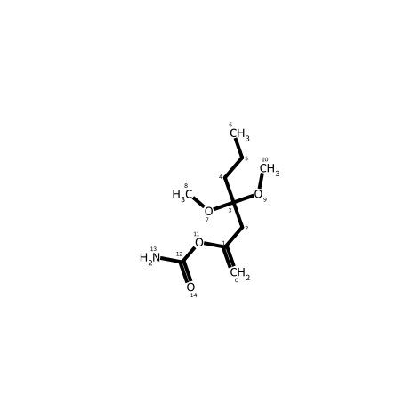 C=C(CC(CCC)(OC)OC)OC(N)=O